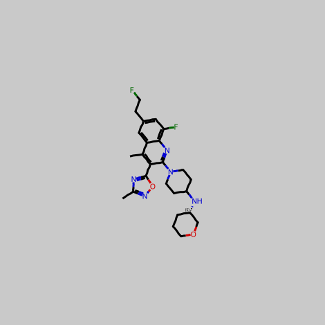 Cc1noc(-c2c(N3CCC(N[C@H]4CCCOC4)CC3)nc3c(F)cc(CCF)cc3c2C)n1